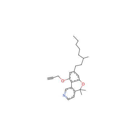 C#CCOc1cc(CCC(C)CCCCC)cc2c1-c1cnccc1C(C)(C)O2